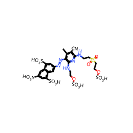 Cc1c(C#N)c(NCCS(=O)(=O)CCOS(=O)(=O)O)nc(NCCOS(=O)(=O)O)c1/N=N/c1cc(S(=O)(=O)O)c2cc(S(=O)(=O)O)cc(S(=O)(=O)O)c2c1